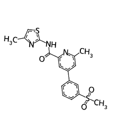 Cc1cc(-c2cccc(S(C)(=O)=O)c2)cc(C(=O)Nc2nc(C)cs2)n1